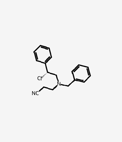 N#CCCN(Cc1ccccc1)C[C@H](Cl)c1ccccc1